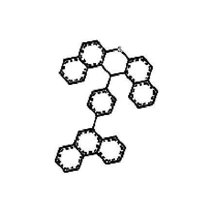 c1ccc2c3c(ccc2c1)Sc1ccc2ccccc2c1C3c1ccc(-c2cc3ccccc3c3ccccc23)cc1